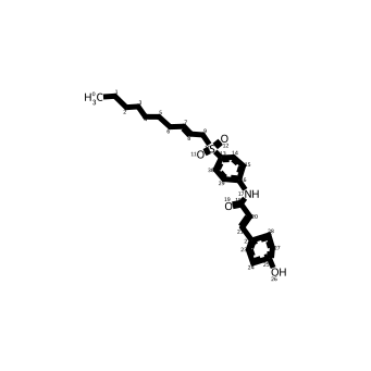 CCCCCCCC=CCS(=O)(=O)c1ccc(NC(=O)C=Cc2ccc(O)cc2)cc1